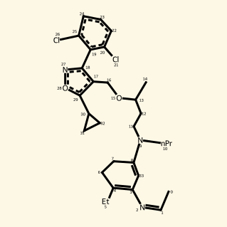 C/C=N\C1=C(CC)CCC(N(CCC)CCC(C)OCc2c(-c3c(Cl)cccc3Cl)noc2C2CC2)=C1